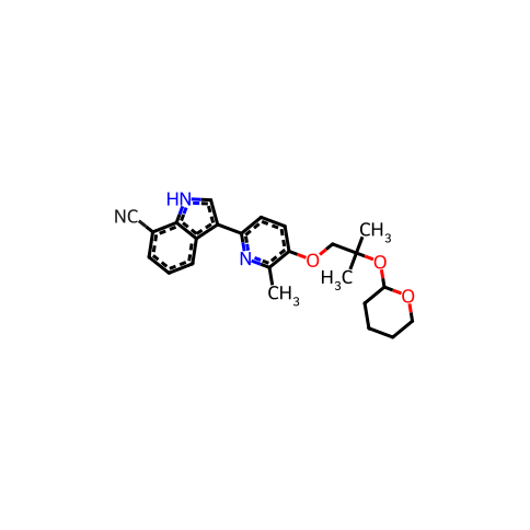 Cc1nc(-c2c[nH]c3c(C#N)cccc23)ccc1OCC(C)(C)OC1CCCCO1